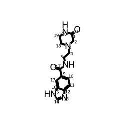 O=C1CN(CCNC(=O)c2ccc3nc[nH]c3c2)CCN1